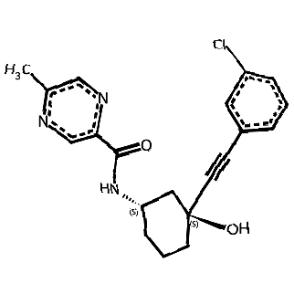 Cc1cnc(C(=O)N[C@H]2CCC[C@@](O)(C#Cc3cccc(Cl)c3)C2)cn1